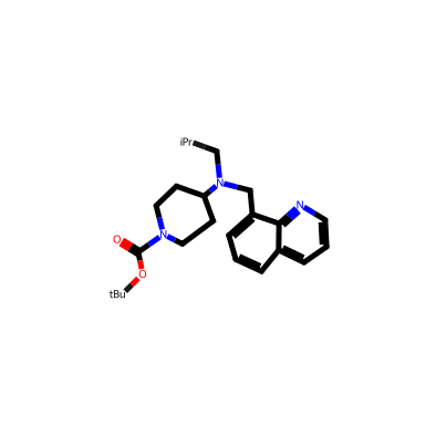 CC(C)CN(Cc1cccc2cccnc12)C1CCN(C(=O)OC(C)(C)C)CC1